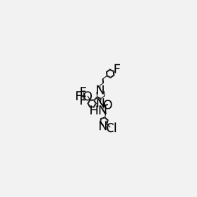 O=C(NCc1ccnc(Cl)c1)n1c2c(c3c(OC(F)(F)F)cccc31)CN(CC=Cc1ccc(F)cc1)CC2